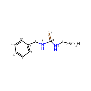 O=S(=O)(O)CNC(=S)NCc1ccccc1